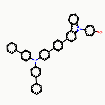 Oc1ccc(-n2c3ccccc3c3cc(-c4ccc(-c5ccc(N(c6ccc(-c7ccccc7)cc6)c6ccc(-c7ccccc7)cc6)cc5)cc4)ccc32)cc1